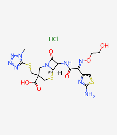 Cl.Cn1nnnc1SCC1(C(=O)O)CS[C@@H]2C(NC(=O)C(=NOCCO)c3csc(N)n3)C(=O)N2C1